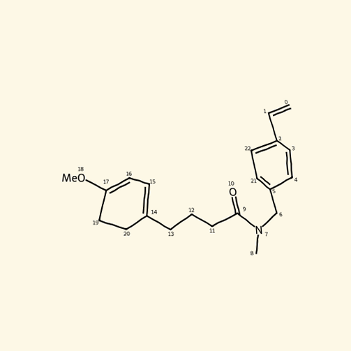 C=Cc1ccc(CN(C)C(=O)CCCC2=CC=C(OC)CC2)cc1